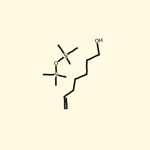 C=CCCCCCO.C[Si](C)(C)O[Si](C)(C)C